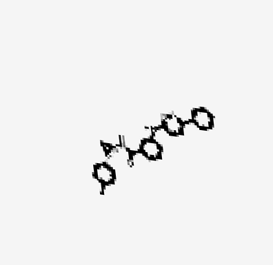 Cc1ccc([C@@H]2C[C@H]2NC(=O)c2cccc(Nc3ccc(-c4ccccc4)nn3)c2)cc1